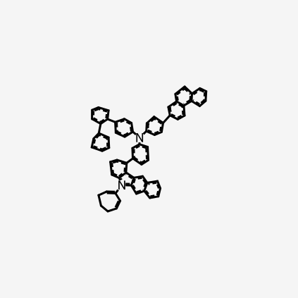 C1=CC(n2c3cc4ccccc4cc3c3c(-c4cccc(N(c5ccc(-c6ccc7c(ccc8ccccc87)c6)cc5)c5ccc(-c6ccccc6-c6ccccc6)cc5)c4)cccc32)=CCCC1